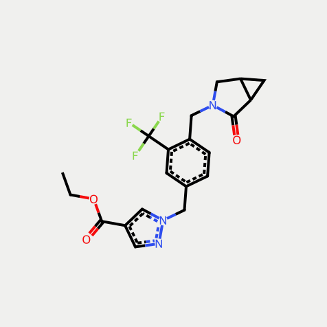 CCOC(=O)c1cnn(Cc2ccc(CN3CC4CC4C3=O)c(C(F)(F)F)c2)c1